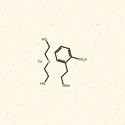 CCCCCCCCCCCCc1ccccc1S(=O)(=O)O.OCCOCCO.[Cu]